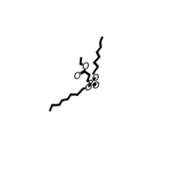 CCCCCCCCOP(=O)(CCC(=O)OCC)OCCCCCCCC